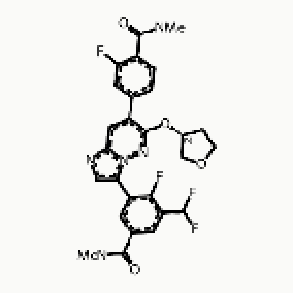 CNC(=O)c1cc(-c2cnc3cc(-c4ccc(C(=O)NC)c(F)c4)c(O[C@H]4CCOC4)nn23)c(F)c(C(F)F)c1